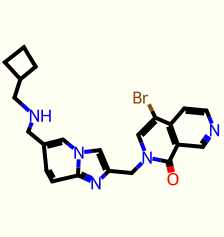 O=c1c2cnccc2c(Br)cn1Cc1cn2cc(CNCC3CCC3)ccc2n1